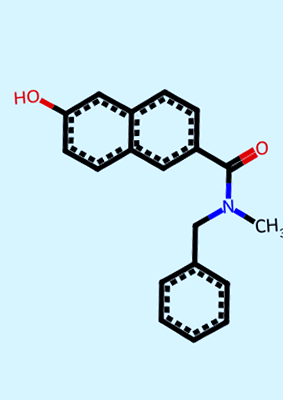 CN(Cc1ccccc1)C(=O)c1ccc2cc(O)ccc2c1